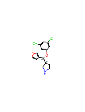 Clc1cc(Cl)cc(O[C@@H](c2ccoc2)[C@H]2CCNC2)c1